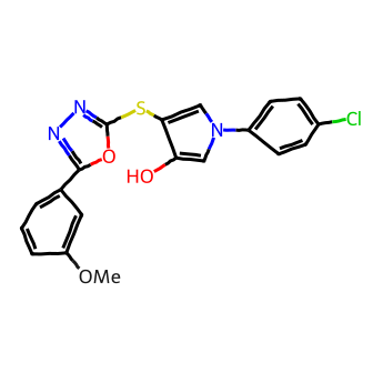 COc1cccc(-c2nnc(Sc3cn(-c4ccc(Cl)cc4)cc3O)o2)c1